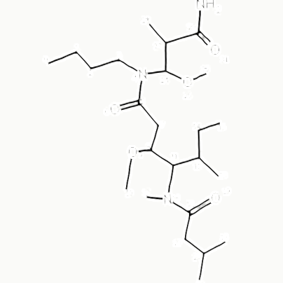 CCCCN(C(=O)CC(OC)C(C(C)CC)N(C)C(=O)CC(C)C)C(OC)C(C)C(N)=O